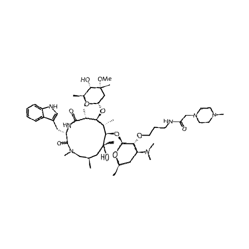 CO[C@]1(C)C[C@H](O[C@H]2[C@H](C)[C@@H](O[C@@H]3O[C@H](C)C[C@H](N(C)C)[C@H]3OCCCNC(=O)CN3CCN(C)CC3)[C@](C)(O)C[C@@H](C)CN(C)C(=O)[C@H](Cc3c[nH]c4ccccc34)NC(=O)[C@@H]2C)O[C@@H](C)[C@@H]1O